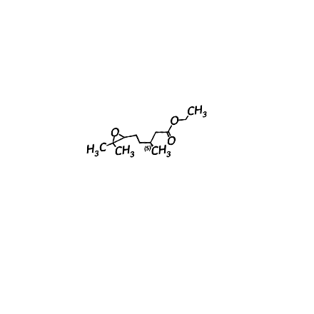 CCOC(=O)C[C@@H](C)CCC1OC1(C)C